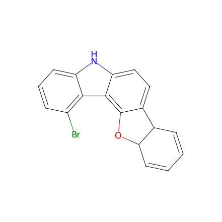 Brc1cccc2[nH]c3ccc4c(c3c12)OC1C=CC=CC41